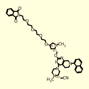 CN1CCN(c2nc(OC[C@@H]3C[C@@H](OCCOCCOCCOCCN4C(=O)c5ccccc5C4=O)CN3C)nc3c2CCN(c2cccc4ccccc24)C3)C[C@@H]1CC#N